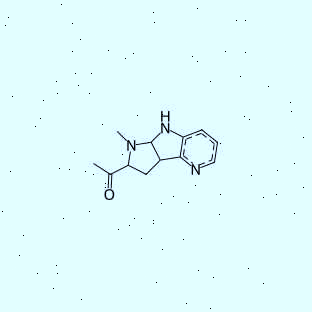 CC(=O)C1CC2c3ncccc3NC2N1C